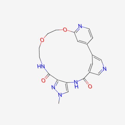 Cn1cc2c(n1)C(=O)NCCOCCOc1cc(ccn1)-c1cncc(c1)C(=O)N2